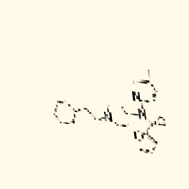 Cc1ccc(N(C(=O)c2ccco2)C2CCN(CC[C]3CCCCC3)CC2)nc1